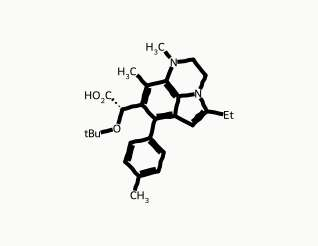 CCc1cc2c(-c3ccc(C)cc3)c([C@H](OC(C)(C)C)C(=O)O)c(C)c3c2n1CCN3C